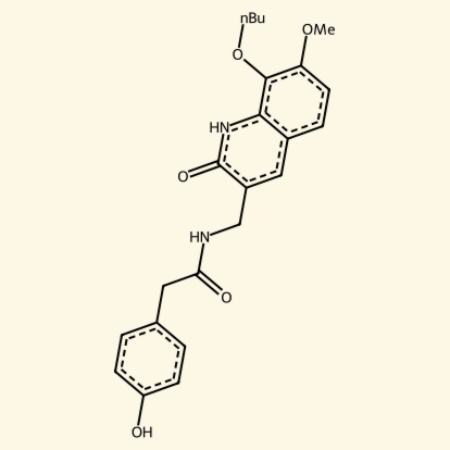 CCCCOc1c(OC)ccc2cc(CNC(=O)Cc3ccc(O)cc3)c(=O)[nH]c12